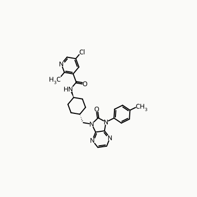 Cc1ccc(-n2c(=O)n(C[C@H]3CC[C@H](NC(=O)c4cc(Cl)cnc4C)CC3)c3nccnc32)cc1